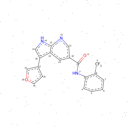 O=C(Nc1ccccc1C(F)(F)F)c1cnc2[nH]cc(-c3ccoc3)c2c1